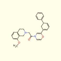 COc1cccc2c1CN(CC(=O)N1C=COC(C3=CC=CC(c4ccccc4)C3)=C1)CC2